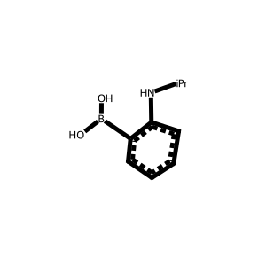 CC(C)Nc1ccccc1B(O)O